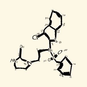 O=C1NCCN1CCN(c1sc2ccccc2c1Cl)S(=O)(=O)c1ccccc1